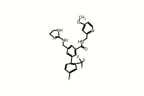 COc1ccnc(CNC(=O)c2cc(CNC3=NCCN3)cc(-c3ccc(F)cc3C(F)(F)F)c2)c1